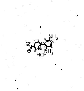 Cl.Nc1ccc(N)c(-c2ccc([N+](=O)[O-])cn2)c1